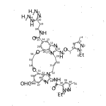 CCn1nc(C)cc1CONc1nc2cc(C(=O)NCC/C(=N/N)NN)cc3c2n1C/C=C/Cn1c(NC(=O)c2cc(C)nn2CC)nc2cc(C=O)cc(c21)OCCCO3